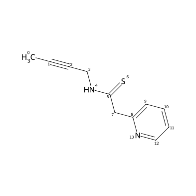 CC#CCNC(=S)Cc1ccccn1